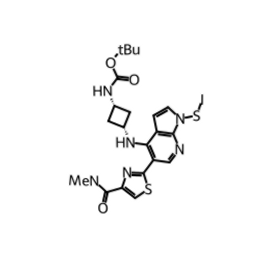 CNC(=O)c1csc(-c2cnc3c(ccn3SI)c2N[C@H]2C[C@@H](NC(=O)OC(C)(C)C)C2)n1